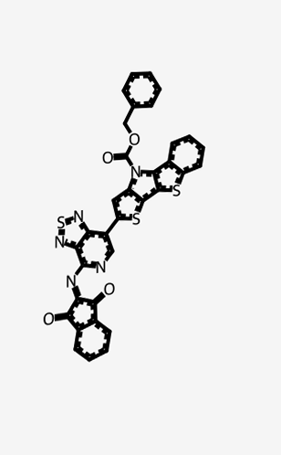 O=C(OCc1ccccc1)n1c2cc(-c3cnc(N=c4c(=O)c5ccccc5c4=O)c4nsnc34)sc2c2sc3ccccc3c21